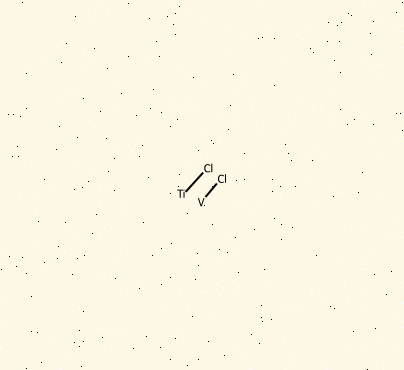 [Cl][Ti].[Cl][V]